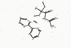 C=C.CCC(Br)(CC)C(=O)NC(N)=O.c1ccc(-c2ccccn2)nc1